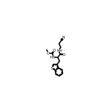 COC(=O)NC(Cc1csc2ccccc12)C(=O)NCCC#N